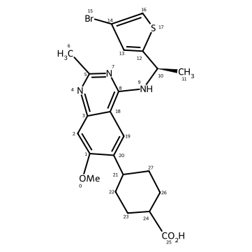 COc1cc2nc(C)nc(N[C@H](C)c3cc(Br)cs3)c2cc1C1CCC(C(=O)O)CC1